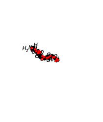 Cc1ccc(NC(=O)c2ccc3c(c2)C(=O)N(c2ccc(Oc4ccc(N5C(=O)c6ccc(C(=O)Nc7ccc(N)cn7)cc6C5=O)cc4)cc2)C3=O)nc1